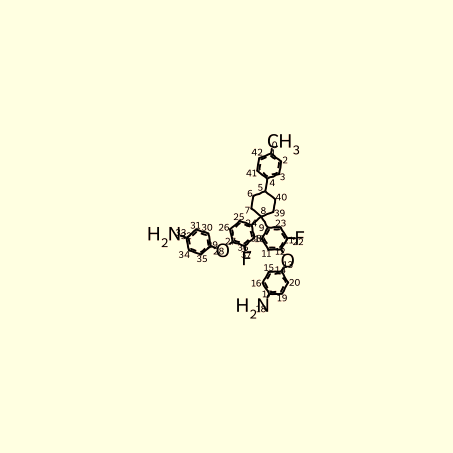 Cc1ccc(C2CCC(c3ccc(Oc4ccc(N)cc4)c(F)c3)(c3ccc(Oc4ccc(N)cc4)c(F)c3)CC2)cc1